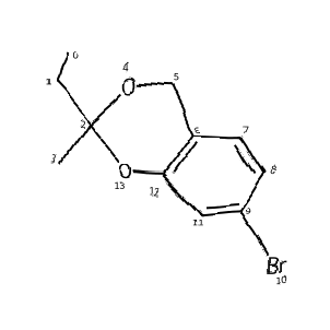 CCC1(C)OCc2ccc(Br)cc2O1